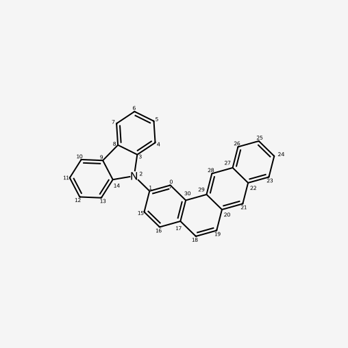 [c]1c(-n2c3ccccc3c3ccccc32)ccc2ccc3cc4ccccc4cc3c12